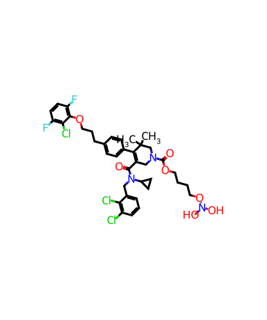 CC1(C)CN(C(=O)OCCCCON(O)O)CC(C(=O)N(Cc2cccc(Cl)c2Cl)C2CC2)=C1c1ccc(CCCOc2c(F)ccc(F)c2Cl)cc1